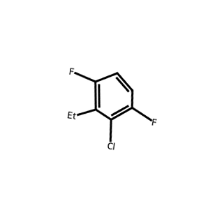 [CH2]Cc1c(F)ccc(F)c1Cl